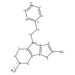 CN1CCc2c(c3sc(Cl)cc3n2CCc2ccncc2)C1